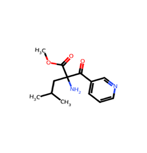 COC(=O)C(N)(CC(C)C)C(=O)c1cccnc1